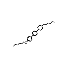 CCCCCCOc1ccc(-c2ccc(C3CCC(CCCCCC)CC3)cc2)cc1